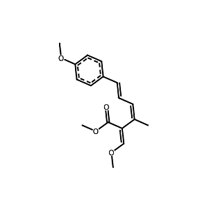 COC=C(C(=O)OC)C(C)=CC=Cc1ccc(OC)cc1